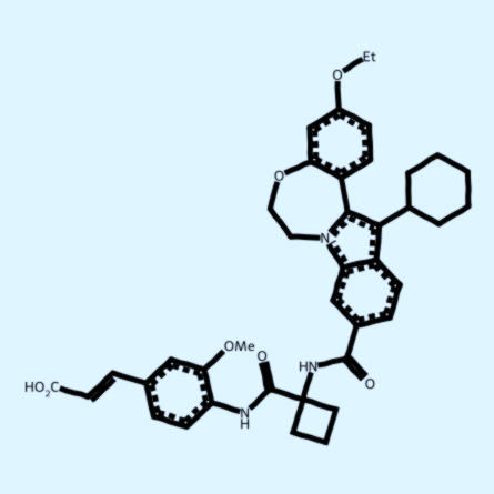 CCOc1ccc2c(c1)OCCn1c-2c(C2CCCCC2)c2ccc(C(=O)NC3(C(=O)Nc4ccc(C=CC(=O)O)cc4OC)CCC3)cc21